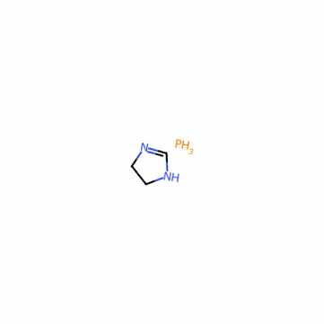 C1=NCCN1.P